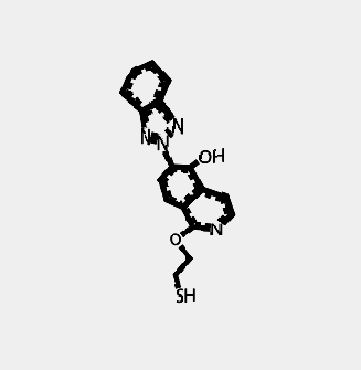 Oc1c(-n2nc3ccccc3n2)ccc2c(OCCS)nccc12